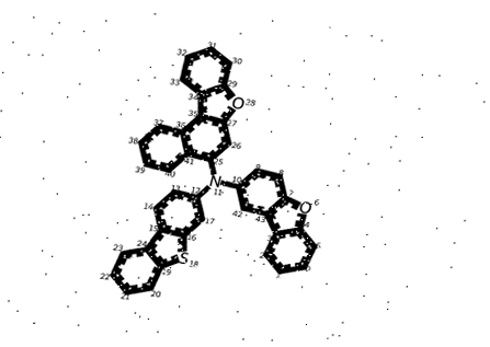 c1ccc2c(c1)oc1ccc(N(c3ccc4c(c3)sc3ccccc34)c3cc4oc5ccccc5c4c4ccccc34)cc12